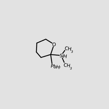 C[SiH](C)[C]1([PbH])CCCCO1